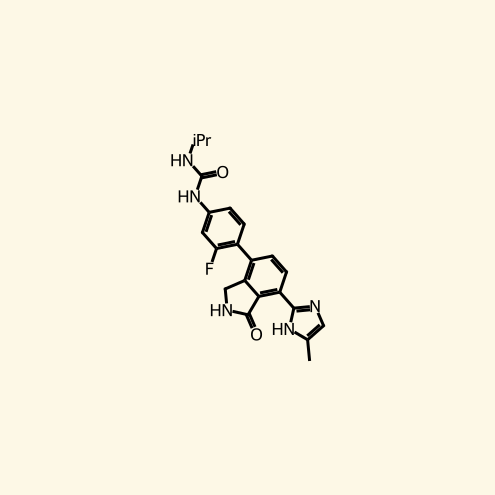 Cc1cnc(-c2ccc(-c3ccc(NC(=O)NC(C)C)cc3F)c3c2C(=O)NC3)[nH]1